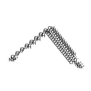 OCl.OCl.OCl.OCl.OCl.OCl.OCl.OCl.OCl.OCl.OCl.OCl.OCl.OCl.OCl.OCl.OCl.OCl.OCl.OCl.[Na+].[Na+].[Na+].[Na+].[Na+].[O-]Cl.[O-]Cl.[O-]Cl.[O-]Cl.[O-]Cl